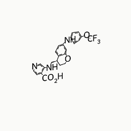 O=C(O)c1ccncc1NC[C@@H]1CCOc2cc(Nc3ccc(OC(F)(F)F)cc3)ccc21